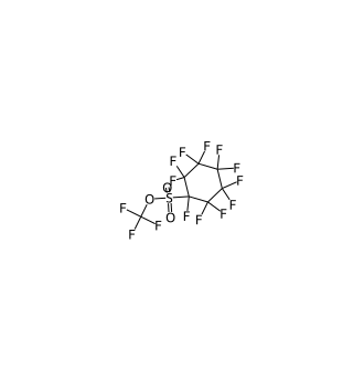 O=S(=O)(OC(F)(F)F)C1(F)C(F)(F)C(F)(F)C(F)(F)C(F)(F)C1(F)F